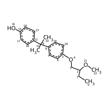 CCC(COc1ccc(C(C)(C)c2ccc(O)cc2)cc1)OC